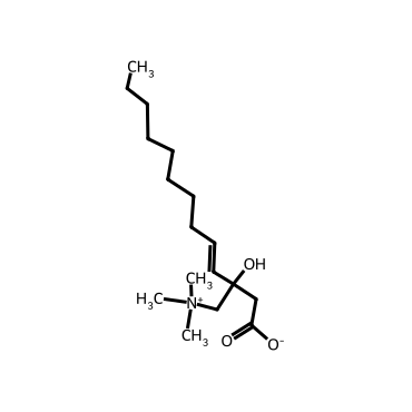 CCCCCCCCC=CC(O)(CC(=O)[O-])C[N+](C)(C)C